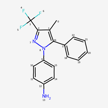 Cc1c(C(F)(F)F)nn(-c2ccc(N)cc2)c1-c1ccccc1